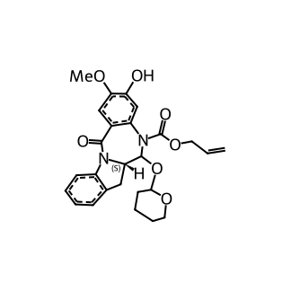 C=CCOC(=O)N1c2cc(O)c(OC)cc2C(=O)N2c3ccccc3C[C@H]2C1OC1CCCCO1